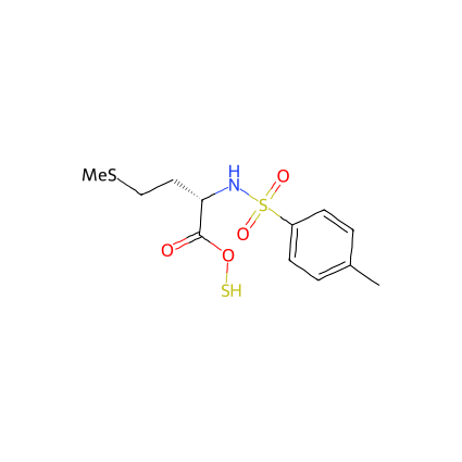 CSCC[C@H](NS(=O)(=O)c1ccc(C)cc1)C(=O)OS